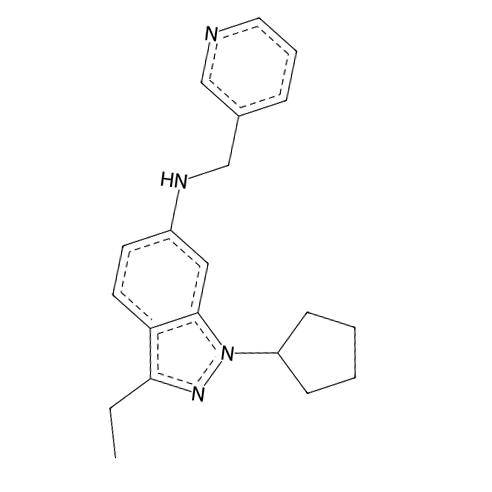 CCc1nn(C2CCCC2)c2cc(NCc3cccnc3)ccc12